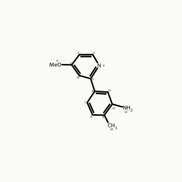 COc1ccnc(-c2ccc(C)c(N)c2)c1